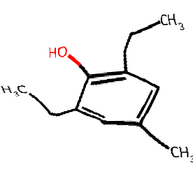 CCc1cc(C)cc(CC)c1O